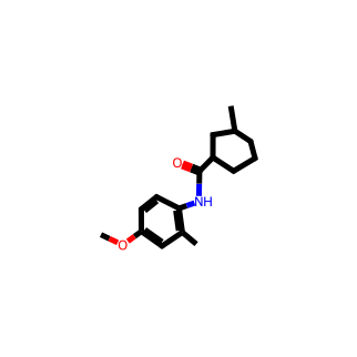 COc1ccc(NC(=O)C2CCCC(C)C2)c(C)c1